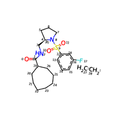 O=C(NC[C@H]1CCCN1S(=O)(=O)c1cccc(F)c1)[C]1CCCCCCC1.[CH2].[CH2]